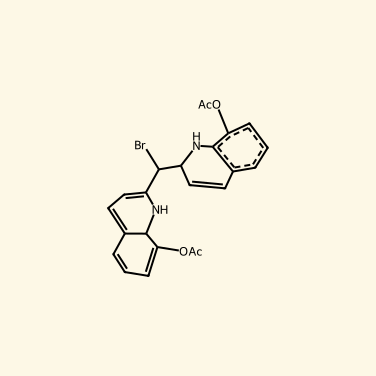 CC(=O)OC1=CC=CC2=CC=C(C(Br)C3C=Cc4cccc(OC(C)=O)c4N3)NC21